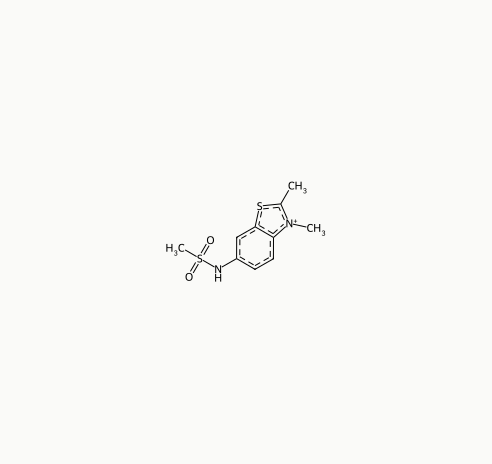 Cc1sc2cc(NS(C)(=O)=O)ccc2[n+]1C